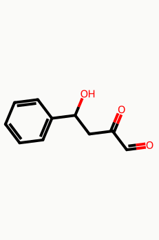 O=CC(=O)CC(O)c1ccccc1